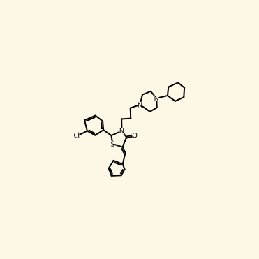 O=C1/C(=C/c2ccccc2)SC(c2cccc(Cl)c2)N1CCCN1CCN(C2CCCCC2)CC1